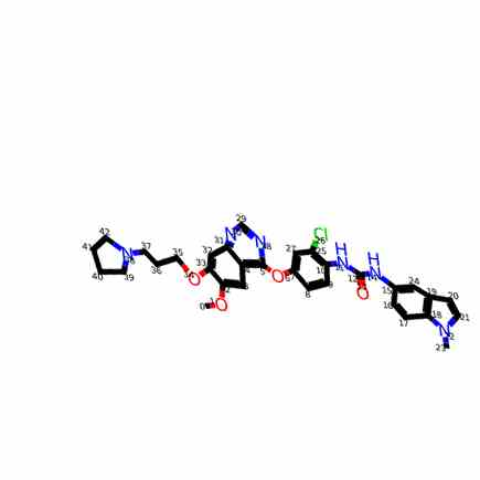 COc1cc2c(Oc3ccc(NC(=O)Nc4ccc5c(ccn5C)c4)c(Cl)c3)ncnc2cc1OCCCN1CCCC1